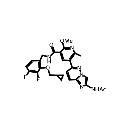 COc1nc(C)c(-c2ccc3nc(NC(C)=O)cn3n2)cc1C(=O)NCc1ccc(F)c(F)c1OCC1CC1